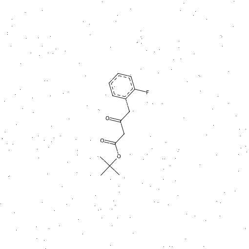 CC(C)(C)OC(=O)CC(=O)Cc1ccccc1F